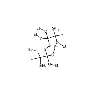 CCOC(C)([SiH3])C(OCC)(OCC)SSC(OCC)(OCC)C(C)([SiH3])OCC